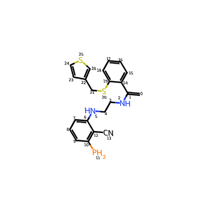 C=C(NCCNc1cccc(P)c1C#N)c1ccccc1SCc1ccsc1